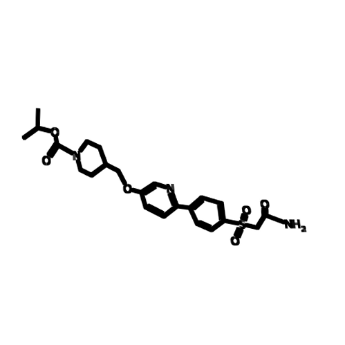 CC(C)OC(=O)N1CCC(COc2ccc(-c3ccc(S(=O)(=O)CC(N)=O)cc3)nc2)CC1